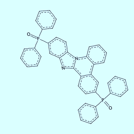 O=P(c1ccccc1)(c1ccccc1)c1ccc2c(c1)nc1c3ccc(P(=O)(c4ccccc4)c4ccccc4)cc3c3ccccc3n21